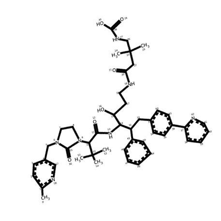 Cc1ccc(CN2CCN(C(C(=O)NC(C(O)CCNC(=O)CC(C)(C)CNC(=O)O)C(Cc3ccc(-c4ccccn4)cc3)c3ccccc3)C(C)(C)C)C2=O)cn1